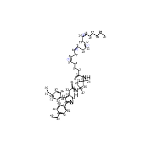 C=C(CCC/C=C\C/C=C\C/C=C\C/C=C\CCCCC)NC(C)(C)CC(C)(C)NC(=C)CC1=C(c2ccc(CC)cc2)C(c2ccc(CC)cc2)=NC1